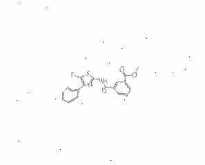 COC(=O)c1cccc(C(=O)Nc2nc(-c3ccccc3)c(F)s2)c1